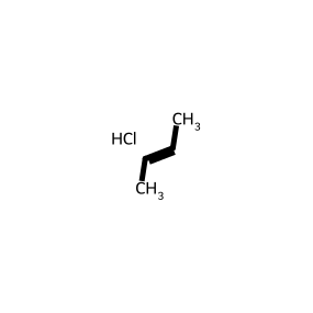 CC=CC.Cl